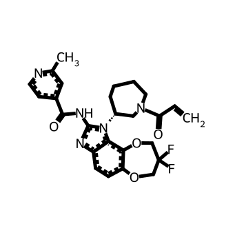 C=CC(=O)N1CCCC[C@@H](n2c(NC(=O)c3ccnc(C)c3)nc3ccc4c(c32)OCC(F)(F)CO4)C1